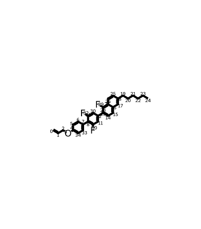 C=CCOc1ccc(-c2c(F)cc(-c3ccc4cc(CCCCCC)ccc4c3F)cc2F)cc1